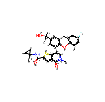 Cc1cc(F)cc(C)c1Oc1ccc(C(C)(C)O)cc1-c1cn(C)c(=O)c2cc(C(=O)NC3(C(F)(F)F)CC3)sc12